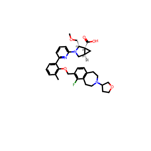 COC[C@H]1N(c2cccc(-c3cccc(C)c3OCc3ccc4c(c3F)CCN(C3CCOC3)CC4)n2)C[C@@H]2C[C@@]21C(=O)O